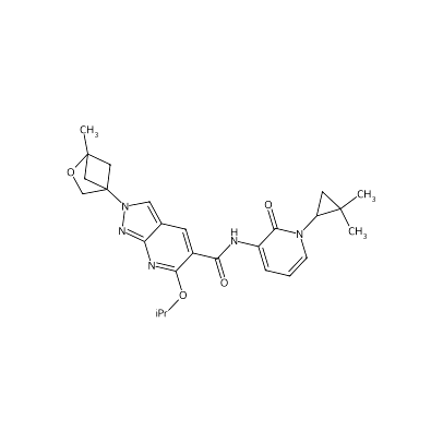 CC(C)Oc1nc2nn(C34COC(C)(C3)C4)cc2cc1C(=O)Nc1cccn(C2CC2(C)C)c1=O